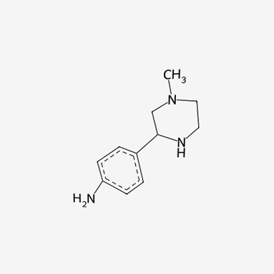 CN1CCNC(c2ccc(N)cc2)C1